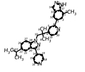 Cc1cc(-c2cc(C(C)(C)Cn3nc(-c4ccncc4)c4cc(C(C)C)ccc43)ccn2)cc2cn[nH]c12